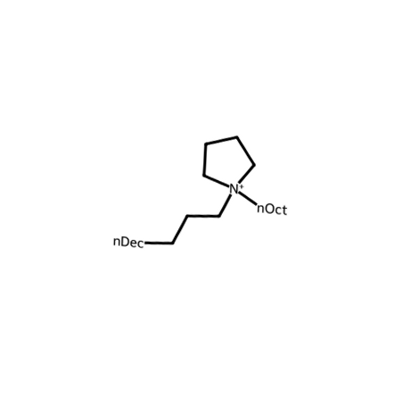 CCCCCCCCCCCCC[N+]1(CCCCCCCC)CCCC1